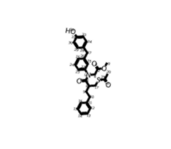 COC(=O)CN(C(=O)C(CCc1ccccc1)CSC(C)=O)c1cccc(Cc2ccc(O)cc2)c1